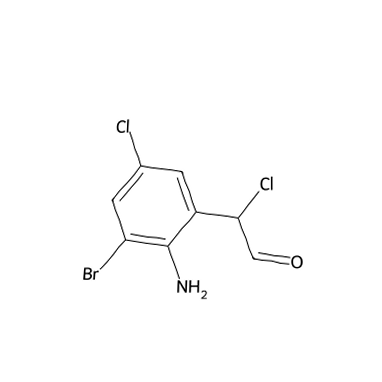 Nc1c(Br)cc(Cl)cc1C(Cl)C=O